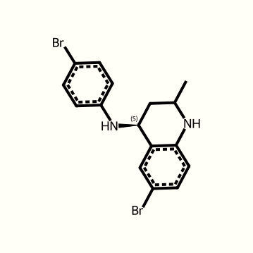 CC1C[C@H](Nc2ccc(Br)cc2)c2cc(Br)ccc2N1